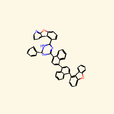 c1ccc(C2NC(c3ccc(-c4ccc(-c5cccc6oc7ccccc7c56)c5ccccc45)c4ccccc34)=NC(c3cccc4oc5ncccc5c34)N2)cc1